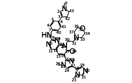 CN1C=C(c2ccc(Nc3ncc4cc(-c5nc(-c6cncn6C)cn5C)c(=O)n(CCN5CCOCC5)c4n3)cc2)CC1